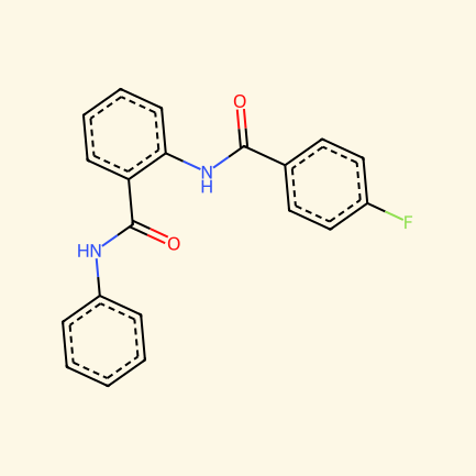 O=C(Nc1ccccc1C(=O)Nc1ccccc1)c1ccc(F)cc1